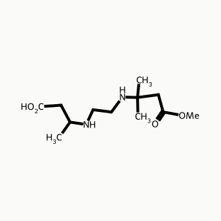 COC(=O)CC(C)(C)NCCNC(C)CC(=O)O